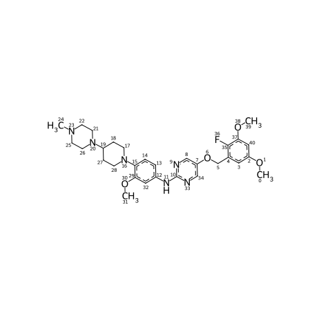 COc1cc(COc2cnc(Nc3ccc(N4CCC(N5CCN(C)CC5)CC4)c(OC)c3)nc2)c(F)c(OC)c1